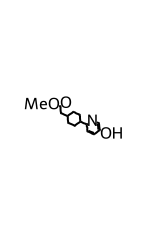 COC(=O)CC1CCC(c2ccc(O)cn2)CC1